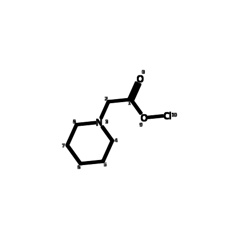 O=C(CN1CCCCC1)OCl